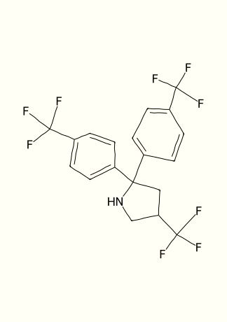 FC(F)(F)c1ccc(C2(c3ccc(C(F)(F)F)cc3)CC(C(F)(F)F)CN2)cc1